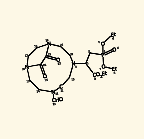 CCOC(=O)C(CP(=O)(OCC)OCC)N1CCN(C=O)CCN2CCN(CC1)C(=O)C2=O